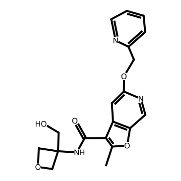 Cc1oc2cnc(OCc3ccccn3)cc2c1C(=O)NC1(CO)COC1